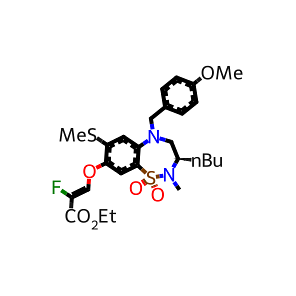 CCCC[C@@H]1CN(Cc2ccc(OC)cc2)c2cc(SC)c(O/C=C(\F)C(=O)OCC)cc2S(=O)(=O)N1C